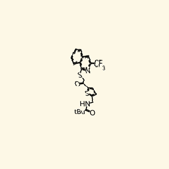 CC(C)(C)C(=O)NCc1ccc(C(=O)CSc2nc(C(F)(F)F)cc3ccccc23)s1